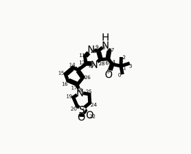 CC(C)(C)C(=O)c1c[nH]c2ncc(-c3cccc(N4CCS(=O)(=O)CC4)c3)nc12